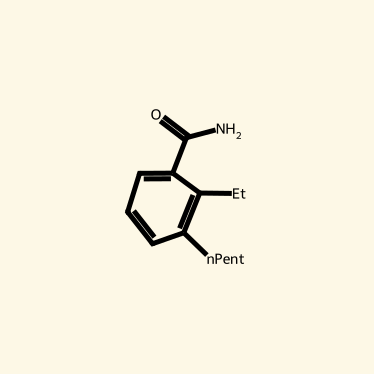 CCCCCc1cccc(C(N)=O)c1CC